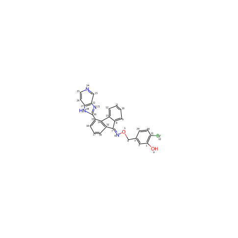 Oc1cc(CO/N=C2\c3ccccc3-c3c2cccc3-c2nc3cnccc3[nH]2)ccc1Br